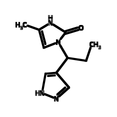 CCC(c1cn[nH]c1)n1cc(C)[nH]c1=O